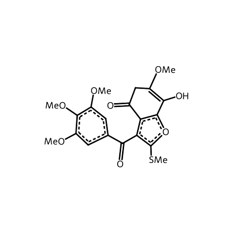 COC1=C(O)c2oc(SC)c(C(=O)c3cc(OC)c(OC)c(OC)c3)c2C(=O)C1